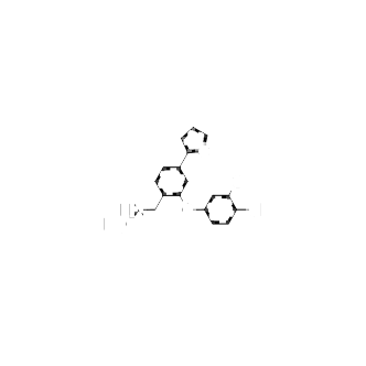 CNCc1ccc(-c2ccco2)cc1Oc1ccc(Cl)c(Cl)c1